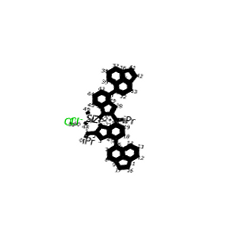 CC(C)CC1=Cc2c(-c3ccc4c5c(cccc35)C=C4)cccc2[CH]1[Zr+2]([CH]1C(CC(C)C)=Cc2c(-c3ccc4c5c(cccc35)C=C4)cccc21)=[Si](C)C.[Cl-].[Cl-]